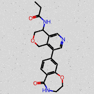 CCC(=O)NC1COCc2c(-c3ccc4c(c3)OCCNC4=O)cncc21